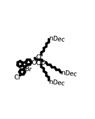 CCCCCCCCCCCCCCCCCCOCC(OCCCCCCCCCCCCCCCCCC)(OCCCCCCCCCCCCCCCCCC)C(C)Oc1ccc2c(c1)C(Br)(c1ccc(Cl)cc1)c1ccccc1-2